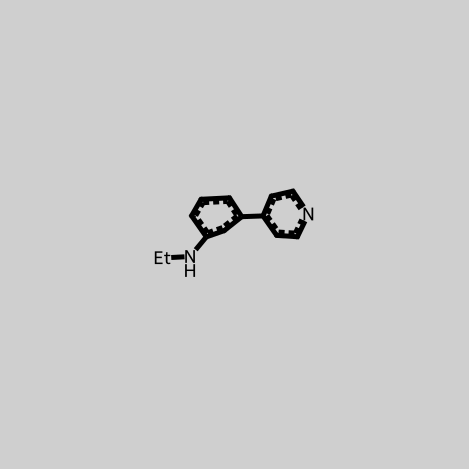 CCNc1cccc(-c2ccncc2)c1